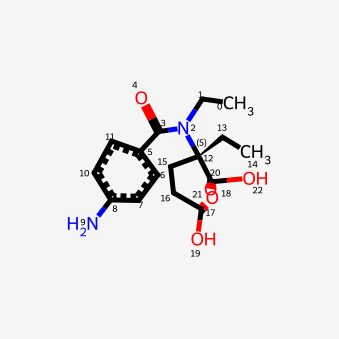 CCN(C(=O)c1ccc(N)cc1)[C@@](CC)(CCC(=O)O)C(=O)O